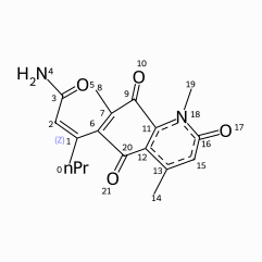 CCC/C(=C/C(N)=O)C1=C(C)C(=O)c2c(c(C)cc(=O)n2C)C1=O